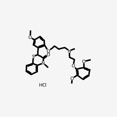 COc1ccc(OCCCN(C)CCOc2c(OC)cccc2OC)c(C2Sc3ccccc3N(C)C2=O)c1.Cl